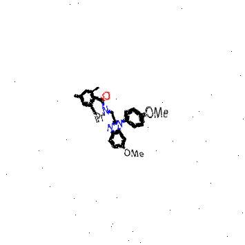 COc1ccc(-n2c(CN(C(=O)c3c(C)cc(C)cc3C)C(C)C)nc3ccc(OC)cc32)cc1